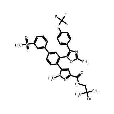 Cc1nc(-c2ccc(OC(F)(F)F)cc2)c(-c2cc(-c3cccc(S(C)(=O)=O)c3)ccc2-c2cc(C(=O)NCC(C)(C)O)nn2C)o1